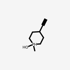 C#CC1CC[PH](C)(O)CC1